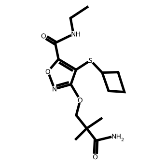 CCNC(=O)c1onc(OCC(C)(C)C(N)=O)c1SC1CCC1